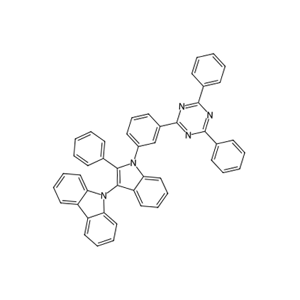 c1ccc(-c2nc(-c3ccccc3)nc(-c3cccc(-n4c(-c5ccccc5)c(-n5c6ccccc6c6ccccc65)c5ccccc54)c3)n2)cc1